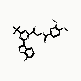 COc1ccc(C(=O)NCC(=O)c2cc(C(C)(C)C)cc(-c3csc4c(F)cccc34)n2)cc1OC